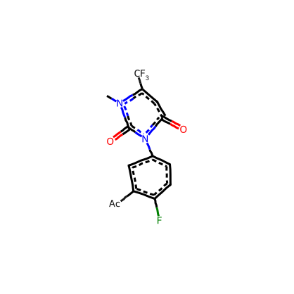 CC(=O)c1cc(-n2c(=O)cc(C(F)(F)F)n(C)c2=O)ccc1F